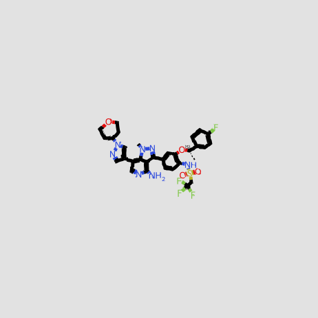 C[C@H](Oc1cc(-c2nn(C)c3c(-c4cnn(C5CCOCC5)c4)cnc(N)c23)ccc1NS(=O)(=O)CC(F)(F)F)c1ccc(F)cc1